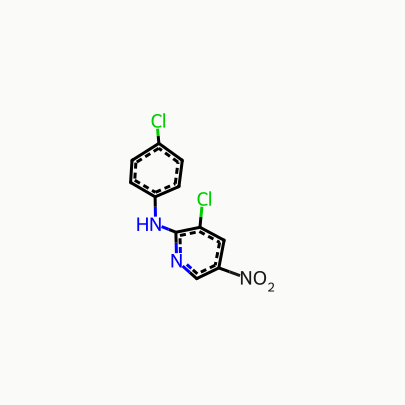 O=[N+]([O-])c1cnc(Nc2ccc(Cl)cc2)c(Cl)c1